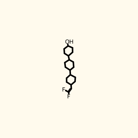 OC1CCC(C2CCC(C3CCC(C=C(F)F)CC3)CC2)CC1